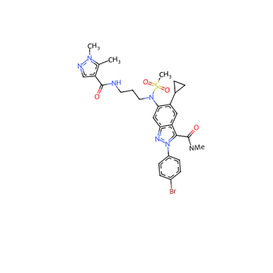 CNC(=O)c1c2cc(C3CC3)c(N(CCCNC(=O)c3cnn(C)c3C)S(C)(=O)=O)cc2nn1-c1ccc(Br)cc1